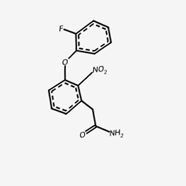 NC(=O)Cc1cccc(Oc2ccccc2F)c1[N+](=O)[O-]